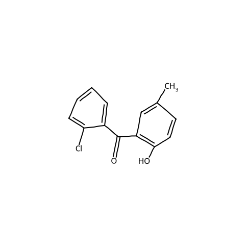 Cc1ccc(O)c(C(=O)c2ccccc2Cl)c1